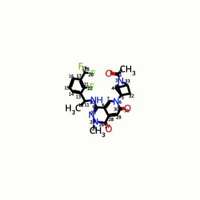 CC(=O)N1CC2(n3cc4c(NC(C)c5cccc(C(F)F)c5F)nn(C)c(=O)c4cc3=O)CC1C2